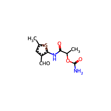 Cc1cc(C=O)c(NC(=O)C(C)OC(N)=O)s1